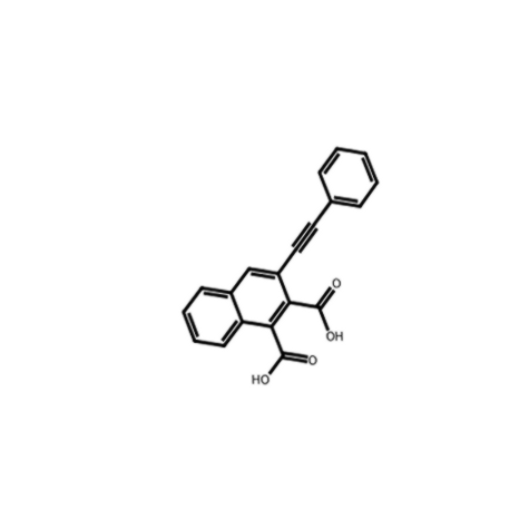 O=C(O)c1c(C#Cc2ccccc2)cc2ccccc2c1C(=O)O